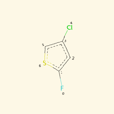 Fc1cc(Cl)cs1